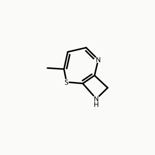 CC1=CC=NC2=C(NC2)S1